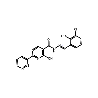 O=C(N/N=C/c1cccc(Cl)c1O)c1cnc(-c2cccnn2)nc1O